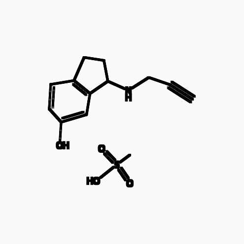 C#CCNC1CCc2ccc(O)cc21.CS(=O)(=O)O